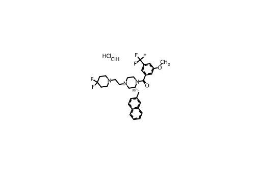 COc1cc(C(=O)N2CCN(CCN3CCC(F)(F)CC3)C[C@H]2Cc2ccc3ccccc3c2)cc(C(F)(F)F)c1.Cl.Cl